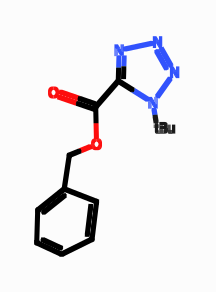 CC(C)(C)n1nnnc1C(=O)OCc1ccccc1